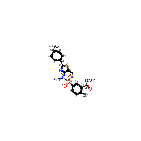 CCc1ccc(S(=O)(=O)N(CC)c2nc(-c3ccc(C(C)(C)C)cc3)sc2C)cc1C(=O)OC